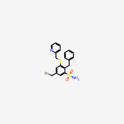 NS(=O)(=O)c1cc(CBr)cc(SCc2ccccn2)c1Cc1ccccc1